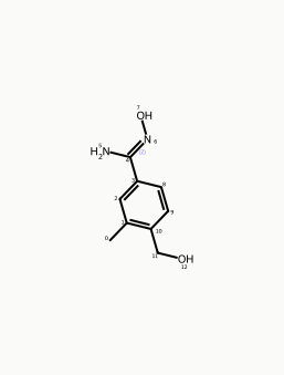 Cc1cc(/C(N)=N/O)ccc1CO